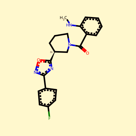 CNc1ccccc1C(=O)N1CCC[C@H](c2nc(-c3ccc(F)cc3)no2)C1